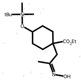 CCOC(=O)C1(C/C(C)=N\O)CCC(O[Si](C)(C)C(C)(C)C)CC1